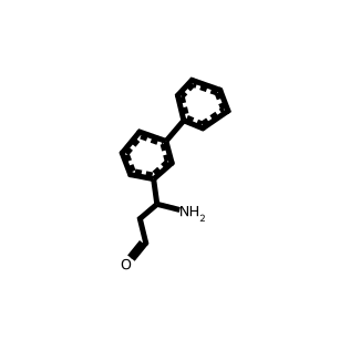 NC(CC=O)c1cccc(-c2ccccc2)c1